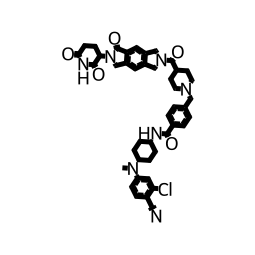 CN(c1ccc(C#N)c(Cl)c1)[C@H]1CC[C@H](NC(=O)c2ccc(CN3CCC(C(=O)N4Cc5cc6c(cc5C4)C(=O)N(C4CCC(=O)NC4=O)C6)CC3)cc2)CC1